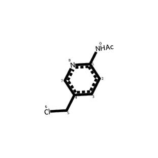 CC(=O)Nc1ccc(CCl)cn1